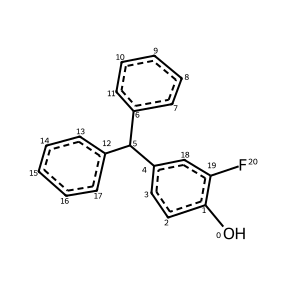 Oc1ccc(C(c2ccccc2)c2ccccc2)cc1F